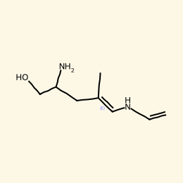 C=CN/C=C(\C)CC(N)CO